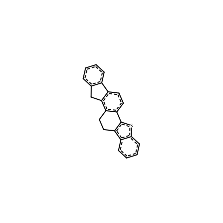 c1ccc2c(c1)Cc1c-2ccc2c1CCc1c-2sc2ccccc12